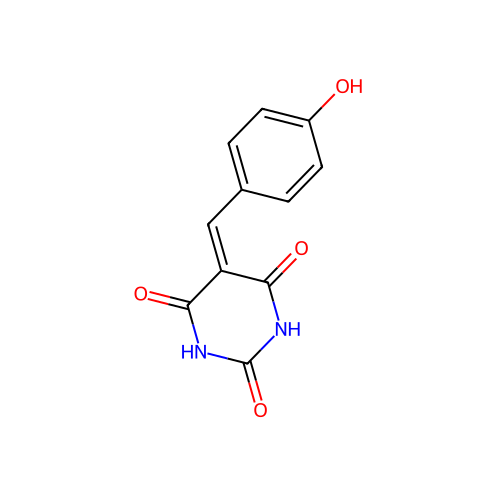 O=C1NC(=O)C(=Cc2ccc(O)cc2)C(=O)N1